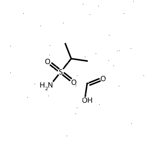 CC(C)S(N)(=O)=O.O=CO